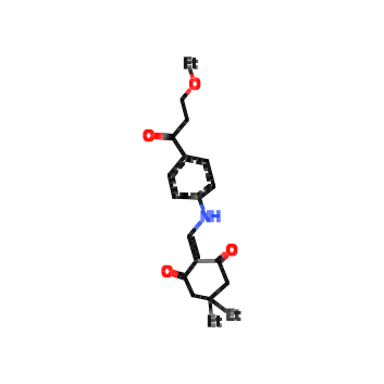 CCOCCC(=O)c1ccc(NC=C2C(=O)CC(CC)(CC)CC2=O)cc1